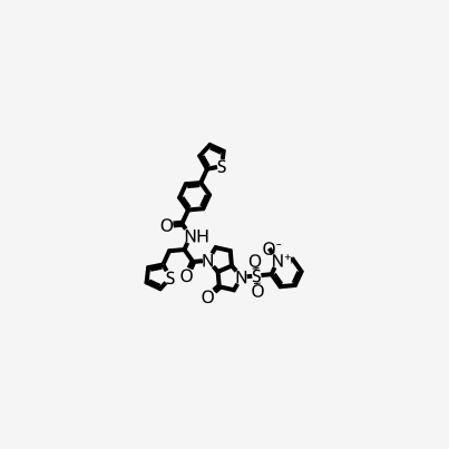 O=C(NC(Cc1cccs1)C(=O)N1CCC2C1C(=O)CN2S(=O)(=O)c1cccc[n+]1[O-])c1ccc(-c2cccs2)cc1